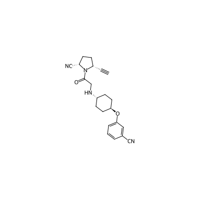 C#C[C@H]1CC[C@@H](C#N)N1C(=O)CN[C@H]1CC[C@H](Oc2cccc(C#N)c2)CC1